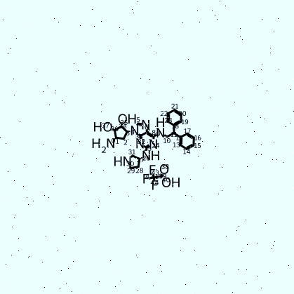 N[C@H]1C[C@@H](n2cnc3c(NCC(c4ccccc4)c4ccccc4)nc(N[C@@H]4CCNC4)nc32)[C@H](O)[C@@H]1O.O=C(O)C(F)(F)F